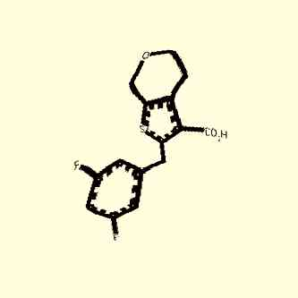 O=C(O)c1c(Cc2cc(F)cc(F)c2)sc2c1CCOC2